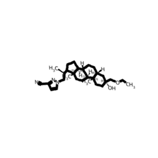 CCOC[C@@]1(O)CC[C@@]2(C)[C@H](CC[C@@H]3[C@@H]2CC[C@]2(C)C([C@H](C)Cn4ccc(C#N)n4)CC[C@@H]32)C1